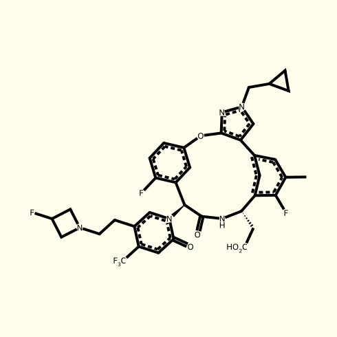 Cc1cc2cc(c1F)[C@H](CC(=O)O)NC(=O)[C@@H](n1cc(CCN3CC(F)C3)c(C(F)(F)F)cc1=O)c1cc(ccc1F)Oc1nn(CC3CC3)cc1-2